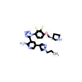 CCCn1cc(-c2cnc(N)c(-c3nnnn3-c3ccc(OC[C@H]4CCNC4)c(F)c3F)c2)cn1